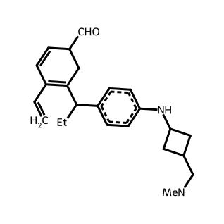 C=CC1=C(C(CC)c2ccc(NC3CC(CNC)C3)cc2)CC(C=O)C=C1